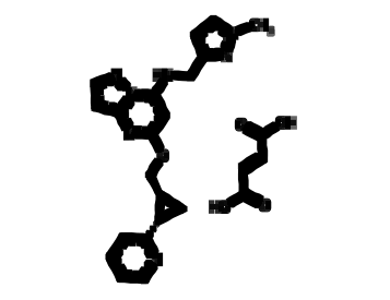 Cn1ccc(CNc2cc(OC[C@H]3C[C@@H]3c3ccccn3)nc3ccnn23)n1.O=C(O)/C=C/C(=O)O